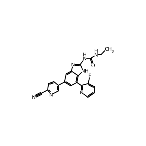 CCNC(=O)Nc1nc2cc(-c3ccc(C#N)nc3)cc(-c3ncccc3F)c2[nH]1